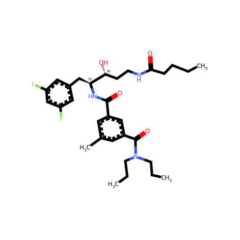 CCCCC(=O)NCC[C@@H](O)[C@H](Cc1cc(F)cc(F)c1)NC(=O)c1cc(C)cc(C(=O)N(CCC)CCC)c1